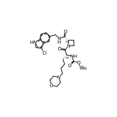 CC(C)(C)OC(=O)N[C@H](CCCCN1CCOCC1)C(=O)N1CC[C@H]1C(=O)NCc1ccc2[nH]cc(Cl)c2c1